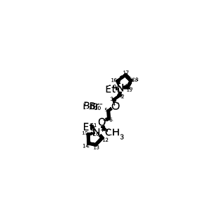 CC[N+]1(CCOCCOC(C)[N+]2(CC)CCCC2)CCCC1.[Br-].[Br-]